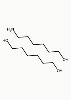 NCCCCCCO.OCCCCCCO